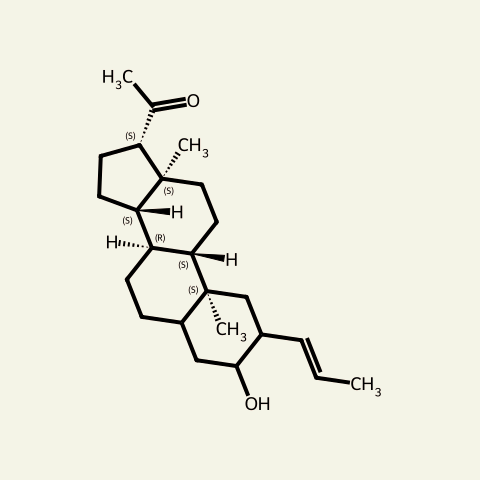 CC=CC1C[C@@]2(C)C(CC[C@H]3[C@@H]4CC[C@H](C(C)=O)[C@@]4(C)CC[C@@H]32)CC1O